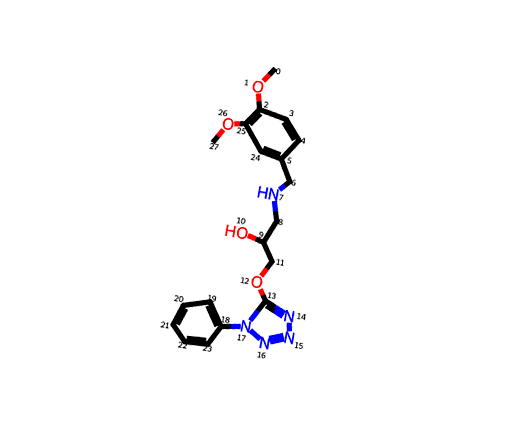 COc1ccc(CNCC(O)COc2nnnn2-c2ccccc2)cc1OC